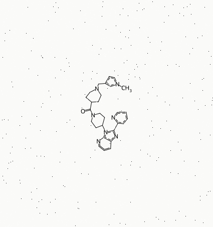 Cn1ccc(CN2CCC(C(=O)N3CCC(n4c(-c5ccccn5)nc5c4N=C=C=C5)CC3)CC2)c1